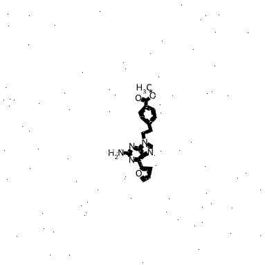 COC(=O)c1ccc(CCn2cnc3c(-c4ccco4)nc(N)nc32)cc1